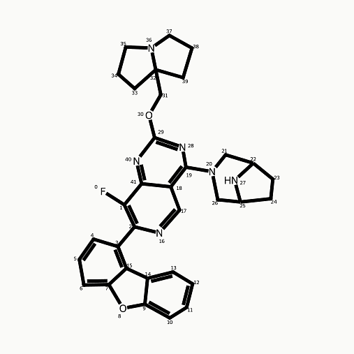 Fc1c(-c2cccc3oc4ccccc4c23)ncc2c(N3CC4CCC(C3)N4)nc(OCC34CCCN3CCC4)nc12